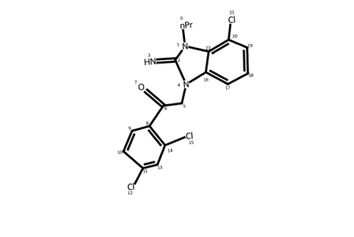 CCCn1c(=N)n(CC(=O)c2ccc(Cl)cc2Cl)c2cccc(Cl)c21